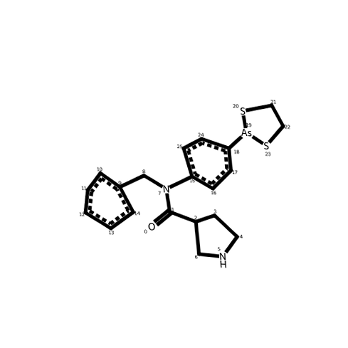 O=C(C1CCNC1)N(Cc1ccccc1)c1ccc([As]2SCCS2)cc1